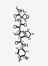 CNC(=O)C1(NC(=O)C(=O)c2c(C)c(C(=O)Nc3ccc(F)c(F)c3)c3n2CCC3)COC1